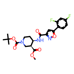 COC(=O)[C@H]1CN(C(=O)OC(C)(C)C)CC[C@H]1NC(=O)c1cc(-c2ccc(F)cc2F)on1